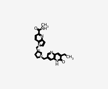 CCc1cc2ncc(CN3CC[C@@H](Cn4ccc5nc(C(=O)NC)ccc54)C3)cc2[nH]c1=O